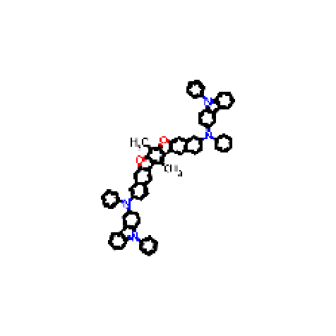 Cc1c2oc3cc4cc(N(c5ccccc5)c5ccc6c(c5)c5ccccc5n6-c5ccccc5)ccc4cc3c2c(C)c2c1oc1cc3cc(N(c4ccccc4)c4ccc5c(c4)c4ccccc4n5-c4ccccc4)ccc3cc12